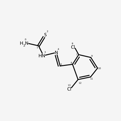 NC(=S)N/N=C/c1c(Cl)cccc1Cl